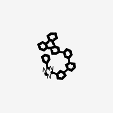 c1ccc(-c2ncnc(-c3cccc(-c4cccc(-c5cccc(-c6ccc7c8ccccc8c8ccccc8c7c6)c5)c4)c3)n2)cc1